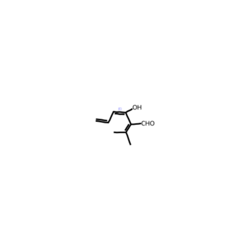 C=C/C=C(/O)C(C=O)=C(C)C